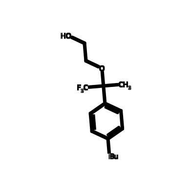 CCC(C)c1ccc(C(C)(OCCO)C(F)(F)F)cc1